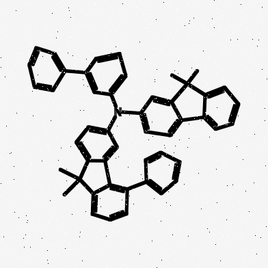 CC1(C)c2ccccc2-c2ccc(N(c3cccc(-c4ccccc4)c3)c3ccc4c(c3)-c3c(-c5ccccc5)cccc3C4(C)C)cc21